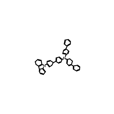 C1=Cc2c(c3ccccc3n2C2=CCC(c3ccc(N(C4=CC=C(c5ccccc5)CC4)c4ccc(-c5ccccc5)cc4)cc3)C=C2)CC1